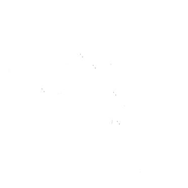 NC(=O)c1c(-c2ccc(F)c(Cl)c2)nn2c1CN(C(=O)NC1CC(F)(F)C1)CC21CC1